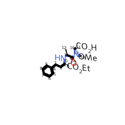 CCOC(=O)[C@H](CCc1ccccc1)N[C@@H](C)C(=O)N(CC(=O)O)OC